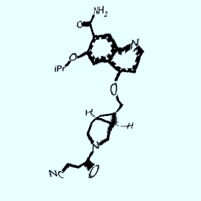 CC(C)Oc1cc2c(OC[C@H]3[C@H]4CN(C(=O)CC#N)C[C@@H]34)ccnc2cc1C(N)=O